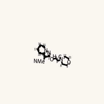 CNc1c(OCC[N+]2(C)CCOCC2)nn2ccccc12